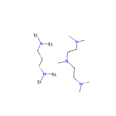 CCN(CC)CCCN(CC)CC.CN(C)CCN(C)CCN(C)C